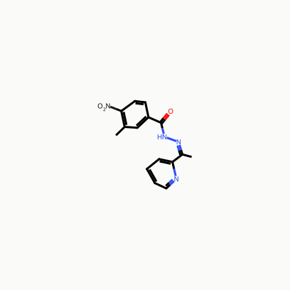 CC(=NNC(=O)c1ccc([N+](=O)[O-])c(C)c1)c1ccccn1